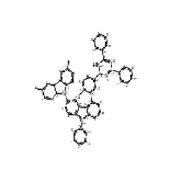 CC1=CC2c3cc(C)ccc3N(c3ccc4c(c3)c3c(-c5cc(C6N=C(c7ccccc7)N=C(c7ccccc7)N6)ccc5C)cccc3n4-c3ccccc3)C2C=C1